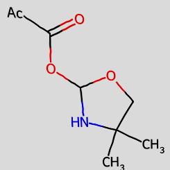 CC(=O)C(=O)OC1NC(C)(C)CO1